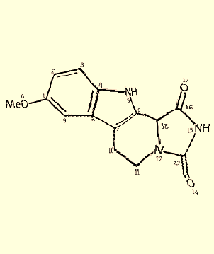 COc1ccc2[nH]c3c(c2c1)CCN1C(=O)NC(=O)C31